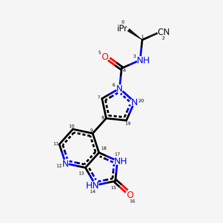 CC(C)[C@@H](C#N)NC(=O)n1cc(-c2ccnc3[nH]c(=O)[nH]c23)cn1